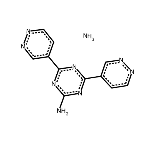 N.Nc1nc(-c2ccnnc2)nc(-c2ccnnc2)n1